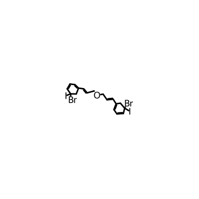 BrC1(I)C=CC=C(C=CCOCC=CC2=CC=CC(Br)(I)C2)C1